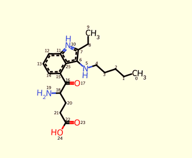 CCCCCNc1c(CC)[nH]c2cccc(C(=O)C(N)CCC(=O)O)c12